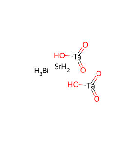 [BiH3].[O]=[Ta](=[O])[OH].[O]=[Ta](=[O])[OH].[SrH2]